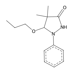 CCCOC1N(c2ccccc2)NC(=O)C1(C)C